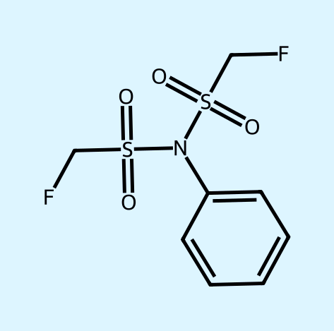 O=S(=O)(CF)N(c1ccccc1)S(=O)(=O)CF